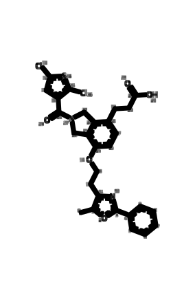 Cc1oc(-c2ccccc2)nc1CCOc1ccc(CCC(=O)O)c2c1CN(C(=O)c1cc(Cl)sc1Cl)C2